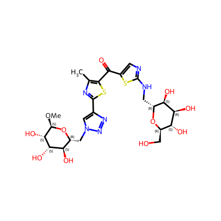 CO[C@H]1O[C@H](Cn2cc(-c3nc(C)c(C(=O)c4cnc(NC[C@H]5O[C@H](CO)[C@@H](O)[C@H](O)[C@@H]5O)s4)s3)nn2)[C@@H](O)[C@H](O)[C@@H]1O